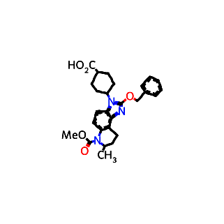 COC(=O)N1c2ccc3c(nc(OCc4ccccc4)n3C3CCC(C(=O)O)CC3)c2CCC1C